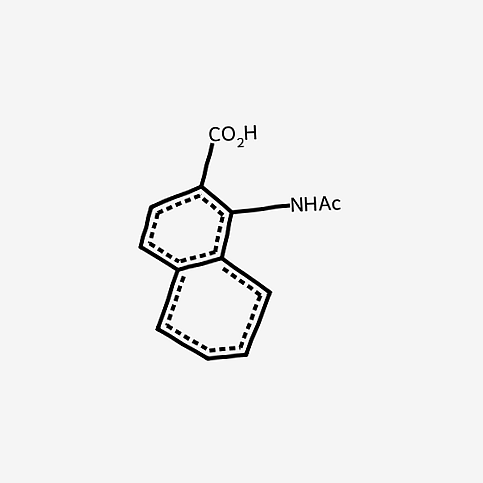 CC(=O)Nc1c(C(=O)O)ccc2ccccc12